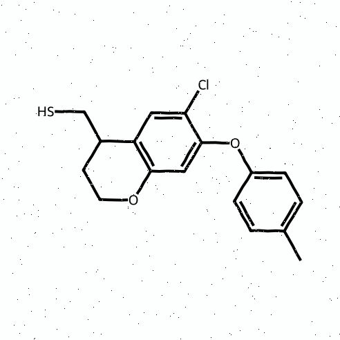 Cc1ccc(Oc2cc3c(cc2Cl)C(CS)CCO3)cc1